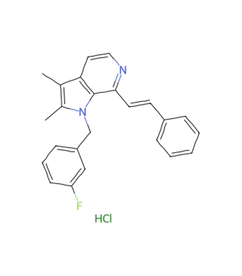 Cc1c(C)n(Cc2cccc(F)c2)c2c(/C=C/c3ccccc3)nccc12.Cl